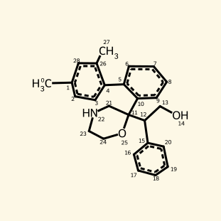 Cc1ccc(-c2ccccc2C2(C(CO)c3ccccc3)CNCCO2)c(C)c1